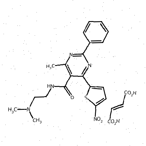 Cc1nc(-c2ccccc2)nc(-c2ccc([N+](=O)[O-])s2)c1C(=O)NCCN(C)C.O=C(O)C=CC(=O)O